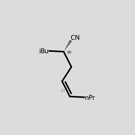 CCC/C=C\C[C@@H](C#N)C(C)CC